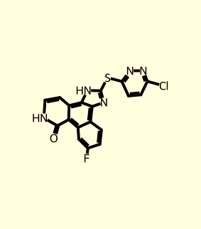 O=c1[nH]ccc2c3[nH]c(Sc4ccc(Cl)nn4)nc3c3ccc(F)cc3c12